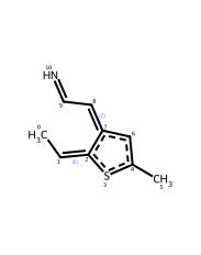 C/C=c1/sc(C)c/c1=C/C=N